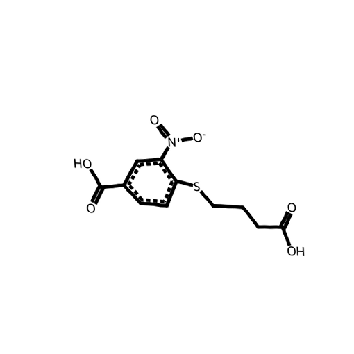 O=C(O)CCCSc1ccc(C(=O)O)cc1[N+](=O)[O-]